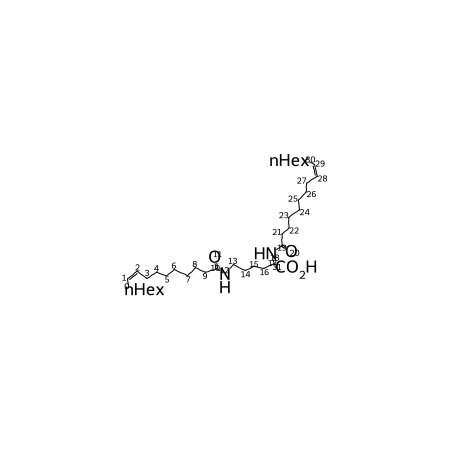 CCCCCC/C=C\CCCCCCCC(=O)NCCCC[C@H](NC(=O)CCCCCCC/C=C\CCCCCC)C(=O)O